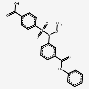 CON(c1cccc(C(=O)Nc2ccccc2)c1)S(=O)(=O)c1ccc(C(=O)O)cc1